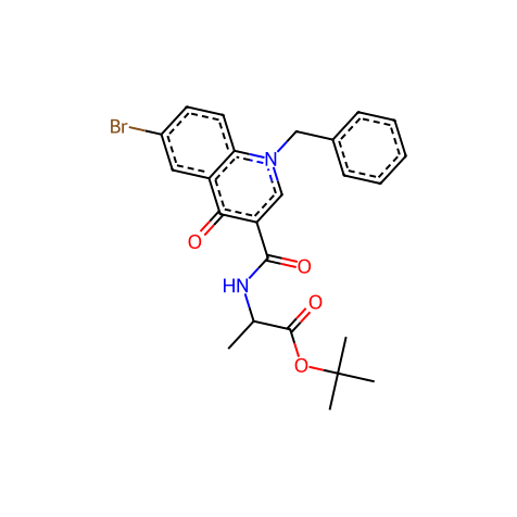 CC(NC(=O)c1cn(Cc2ccccc2)c2ccc(Br)cc2c1=O)C(=O)OC(C)(C)C